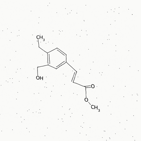 CCc1ccc(C=CC(=O)OC)cc1CO